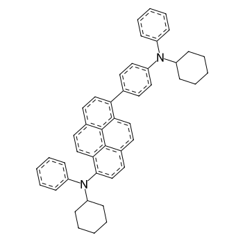 c1ccc(N(c2ccc(-c3ccc4ccc5c(N(c6ccccc6)C6CCCCC6)ccc6ccc3c4c65)cc2)C2CCCCC2)cc1